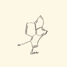 COc1cc2ccc3cccc4ccc(c1Br)c2c34